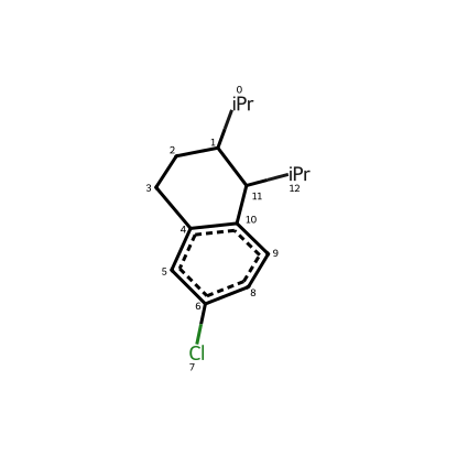 CC(C)C1CCc2cc(Cl)ccc2C1C(C)C